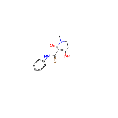 CN1CCC(O)=C(C(=S)Nc2ccccc2)C1=O